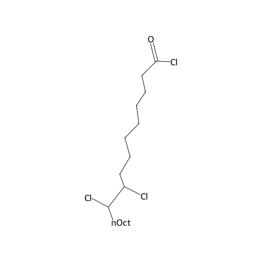 CCCCCCCCC(Cl)C(Cl)CCCCCCCC(=O)Cl